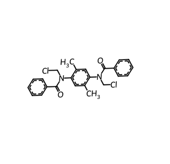 Cc1cc(N(CCl)C(=O)c2ccccc2)c(C)cc1N(CCl)C(=O)c1ccccc1